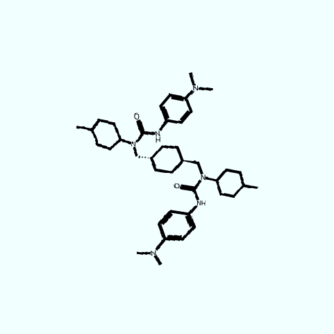 CC1CCC(N(C[C@H]2CC[C@H](CN(C(=O)Nc3ccc(N(C)C)cc3)C3CCC(C)CC3)CC2)C(=O)Nc2ccc(N(C)C)cc2)CC1